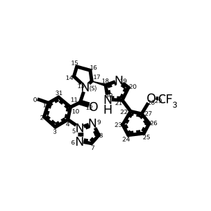 Cc1ccc(-n2nccn2)c(C(=O)N2CCC[C@H]2c2ncc(-c3ccccc3OC(F)(F)F)[nH]2)c1